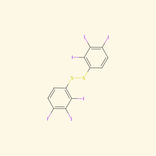 Ic1ccc(SSc2ccc(I)c(I)c2I)c(I)c1I